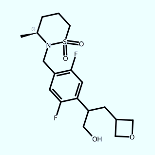 C[C@H]1CCCS(=O)(=O)N1Cc1cc(F)c(C(CO)CC2COC2)cc1F